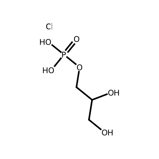 O=P(O)(O)OCC(O)CO.[C]